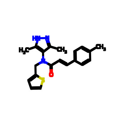 Cc1ccc(/C=C/C(=O)N(Cc2cccs2)c2c(C)n[nH]c2C)cc1